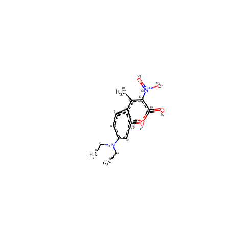 CCN(CC)c1ccc2c(C)c([N+](=O)[O-])c(=O)oc2c1